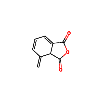 C=C1C=CC=C2C(=O)OC(=O)C12